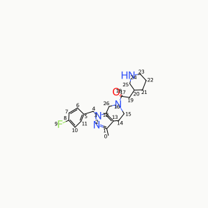 Cc1nn(Cc2ccc(F)cc2)c2c1CCN(C(=O)CC1CCCNC1)C2